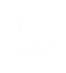 O=C(O)c1cccc(N(CCc2ccc(-c3ccccc3)cc2)c2cnc[nH]2)c1O